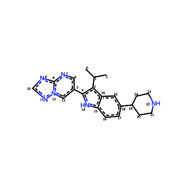 CC(C)c1c(-c2cnc3ncnn3c2)[nH]c2ccc(C3CCNCC3)cc12